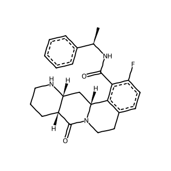 C[C@@H](NC(=O)c1c(F)ccc2c1[C@H]1C[C@H]3NCCC[C@H]3C(=O)N1CC2)c1ccccc1